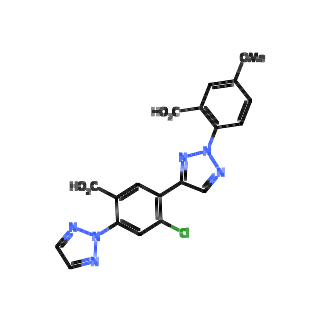 COc1ccc(-n2ncc(-c3cc(C(=O)O)c(-n4nccn4)cc3Cl)n2)c(C(=O)O)c1